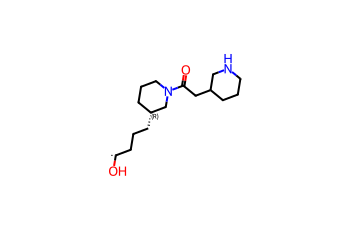 O=C(CC1CCCNC1)N1CCC[C@@H](CCC[CH]O)C1